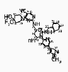 CCC[C@@H](CCCNc1ncc(C#N)c(N2CCC(O)(C(F)(F)F)CC2)n1)N(C(=O)NCc1ccccc1)c1ccc(-c2cnn(C)c2)cn1